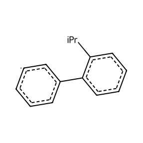 CC(C)c1ccccc1-c1c[c]ccc1